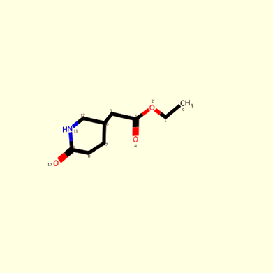 CCOC(=O)CC1CCC(=O)NC1